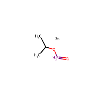 CC(C)O[PH2]=O.[Zn]